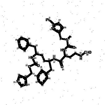 CC(C)c1nc(CN(C)C(=O)NC(CCNC=O)C(=O)NC(CCC(Cc2ccccc2)NC(=O)OCc2cncs2)Cc2ccccc2)cs1